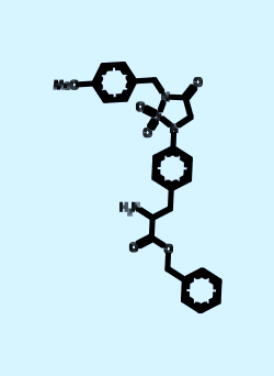 COc1ccc(CN2C(=O)CN(c3ccc(CC(N)C(=O)OCc4ccccc4)cc3)S2(=O)=O)cc1